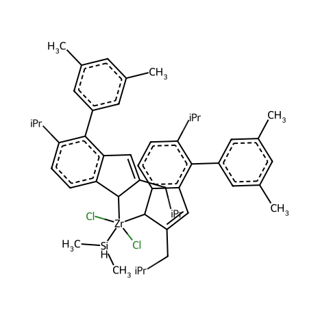 Cc1cc(C)cc(-c2c(C(C)C)ccc3c2C=C(CC(C)C)[CH]3[Zr]([Cl])([Cl])([CH]2C(CC(C)C)=Cc3c2ccc(C(C)C)c3-c2cc(C)cc(C)c2)[SiH](C)C)c1